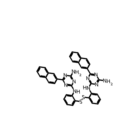 Nc1nc(Nc2ccccc2SSc2ccccc2Nc2nc(N)nc(-c3ccc4ccccc4c3)n2)nc(-c2ccc3ccccc3c2)n1